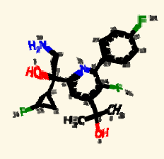 CC(C)(O)c1cc(C(O)(CN)C2CC2F)nc(-c2ccc(F)cc2)c1F